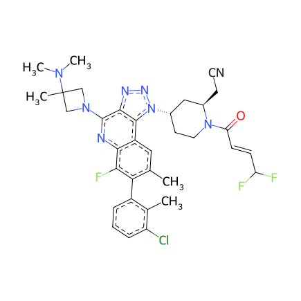 Cc1cc2c(nc(N3CC(C)(N(C)C)C3)c3nnn([C@H]4CCN(C(=O)/C=C/C(F)F)[C@H](CC#N)C4)c32)c(F)c1-c1cccc(Cl)c1C